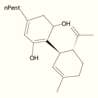 C=C(C)[C@@H]1CCC(C)=C[C@H]1C1=C(O)C=C(CCCCC)CC1O